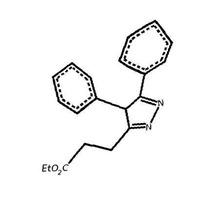 CCOC(=O)CCC1=NN=C(c2ccccc2)C1c1ccccc1